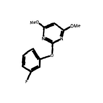 COc1cc(OC)nc(Oc2cccc(F)c2)n1